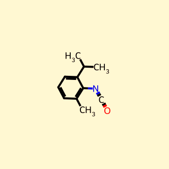 Cc1cccc(C(C)C)c1N=C=O